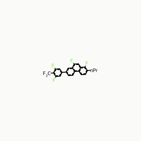 CCCc1ccc2c(cc(F)c3cc(-c4cc(F)c(C(F)(F)F)c(F)c4)ccc32)c1F